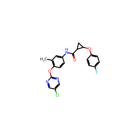 Cc1cc(NC(=O)C2CC2Oc2ccc(F)cc2)ccc1Oc1ncc(Cl)cn1